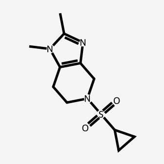 Cc1nc2c(n1C)CCN(S(=O)(=O)C1CC1)C2